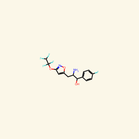 NC(Cc1cc(OC(F)(F)C(F)F)no1)C(O)c1ccc(F)cc1